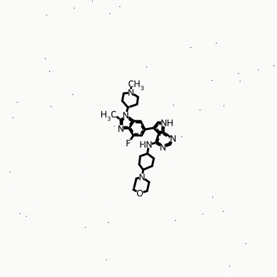 Cc1nc2c(F)cc(-c3c[nH]c4ncnc(NC5CCC(N6CCOCC6)CC5)c34)cc2n1C1CCN(C)CC1